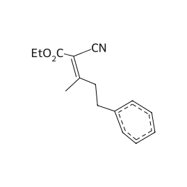 CCOC(=O)/C(C#N)=C(\C)CCc1ccccc1